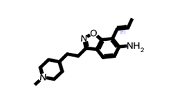 C/C=C/c1c(N)ccc2c(CCC3CCN(C)CC3)noc12